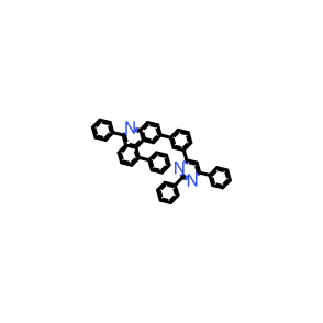 c1ccc(-c2cc(-c3cccc(-c4ccc5nc(-c6ccccc6)c6cccc(-c7ccccc7)c6c5c4)c3)nc(-c3ccccc3)n2)cc1